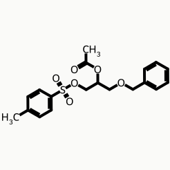 CC(=O)OC(COCc1ccccc1)COS(=O)(=O)c1ccc(C)cc1